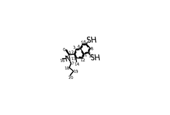 C=C(c1cc2cc(S)cc(S)c2cc1C)N(C)CCCC